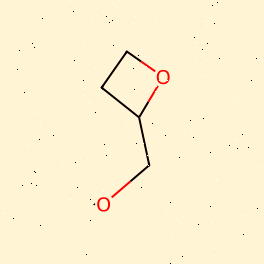 [O]CC1CCO1